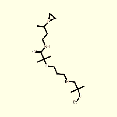 CCOC(C)(C)CNCCCOC(C)(C)C(=O)NCCC(C)N1CC1